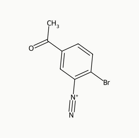 CC(=O)c1ccc(Br)c([N+]#N)c1